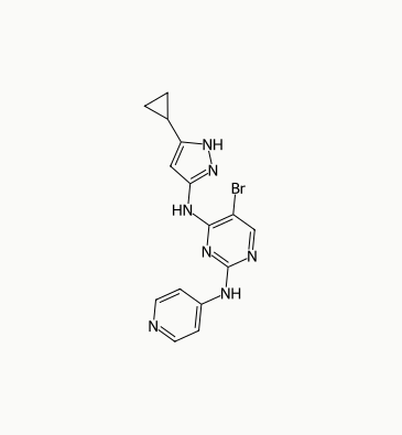 Brc1cnc(Nc2ccncc2)nc1Nc1cc(C2CC2)[nH]n1